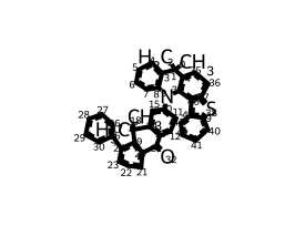 CC1(C)c2ccccc2N(c2ccc3c(c2)C(C)(C)c2c(cccc2-c2ccccc2)C3=O)c2c1ccc1sc3ccccc3c21